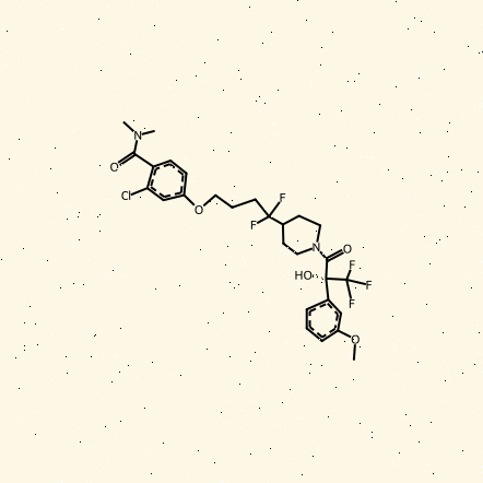 COc1cccc([C@@](O)(C(=O)N2CCC(C(F)(F)CCCOc3ccc(C(=O)N(C)C)c(Cl)c3)CC2)C(F)(F)F)c1